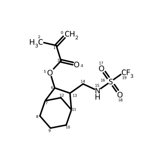 C=C(C)C(=O)OC1C2CCCC(C2)C1CNS(=O)(=O)C(F)(F)F